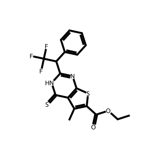 CCOC(=O)c1sc2nc(C(c3ccccc3)C(F)(F)F)[nH]c(=S)c2c1C